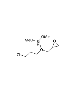 CO[SiH2]OC.ClCCCOCC1CO1